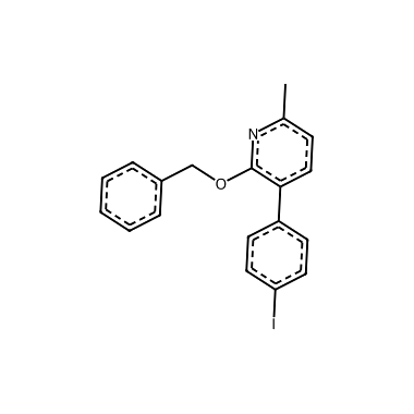 Cc1ccc(-c2ccc(I)cc2)c(OCc2ccccc2)n1